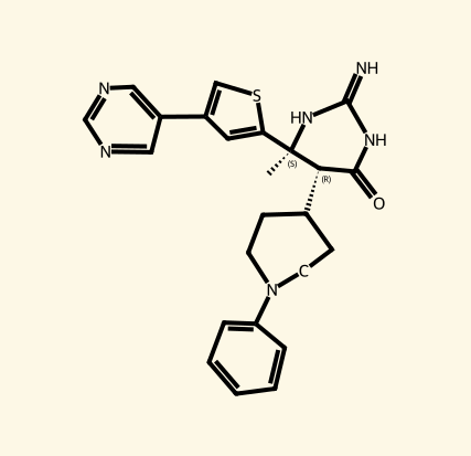 C[C@]1(c2cc(-c3cncnc3)cs2)NC(=N)NC(=O)[C@@H]1C1CCN(c2ccccc2)CC1